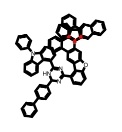 c1ccc(-c2ccc(C3N=C(c4cccc5oc6cc(-n7c8ccccc8c8cc9ccccc9cc87)c(-c7ccccc7-c7cccc8ccccc78)cc6c45)N=C(c4cccc5c4c4ccccc4n5-c4ccccc4)N3)cc2)cc1